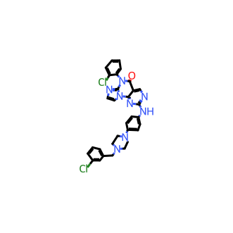 O=c1c2cnc(Nc3ccc(N4CCN(Cc5cccc(Cl)c5)CC4)cc3)nc2n2ccnc2n1-c1ccccc1Cl